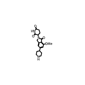 COc1cc(C2CCNCC2)cc2c1C(=O)N(C1CCC(=O)NC1=O)C2